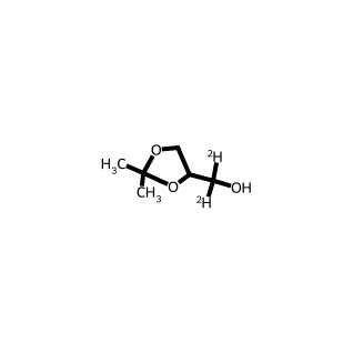 [2H]C([2H])(O)C1COC(C)(C)O1